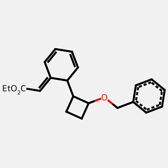 CCOC(=O)C=C1C=CC=CC1C1CCC1OCc1ccccc1